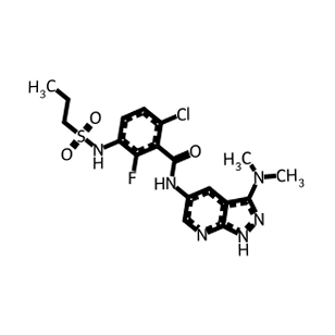 CCCS(=O)(=O)Nc1ccc(Cl)c(C(=O)Nc2cnc3[nH]nc(N(C)C)c3c2)c1F